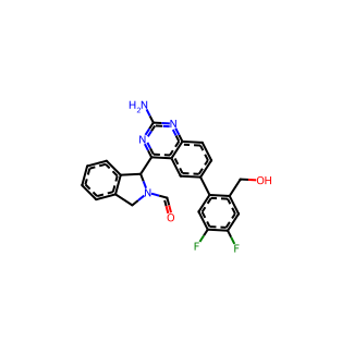 Nc1nc(C2c3ccccc3CN2C=O)c2cc(-c3cc(F)c(F)cc3CO)ccc2n1